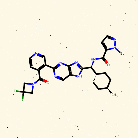 CCn1nccc1C(=O)N[C@H](c1nc2nc(-c3cnccc3C(=O)N3CC(F)(F)C3)ncc2[nH]1)[C@H]1CC[C@H](C)CC1